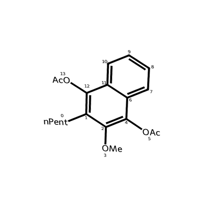 CCCCCc1c(OC)c(OC(C)=O)c2ccccc2c1OC(C)=O